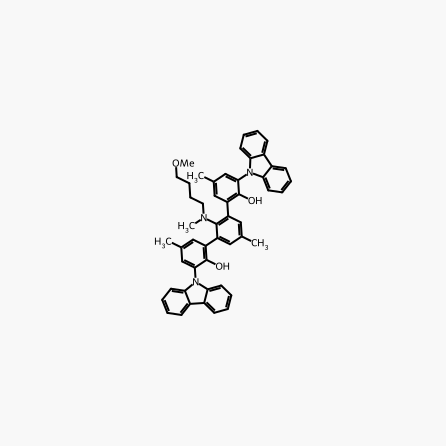 COCCCCN(C)c1c(-c2cc(C)cc(-n3c4ccccc4c4ccccc43)c2O)cc(C)cc1-c1cc(C)cc(-n2c3ccccc3c3ccccc32)c1O